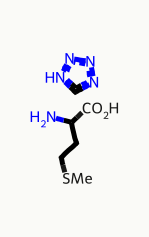 CSCCC(N)C(=O)O.c1nnn[nH]1